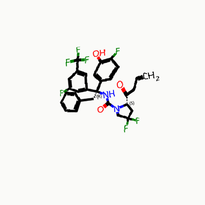 C=CCC(=O)[C@@H]1CC(F)(F)CN1C(=O)N[C@@](Cc1ccccc1)(c1cc(F)cc(C(F)(F)F)c1)c1ccc(F)c(O)c1